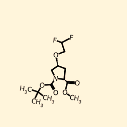 COC(=O)[C@@H]1C[C@H](OCC(F)F)CN1C(=O)OC(C)(C)C